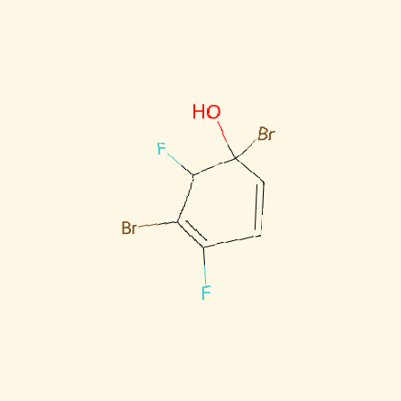 OC1(Br)C=CC(F)=C(Br)C1F